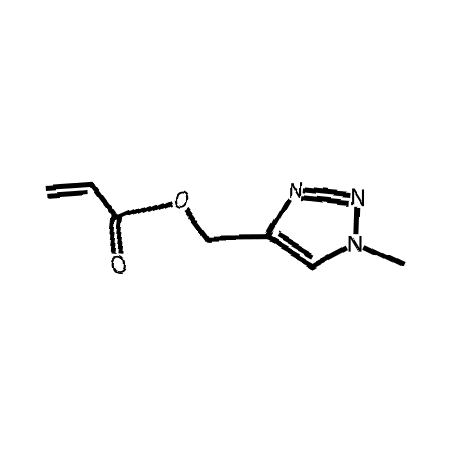 C=CC(=O)OCc1cn(C)nn1